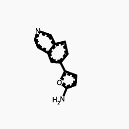 Nc1ccc(-c2ccc3cnccc3c2)o1